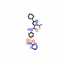 CC(C)n1nc(-c2ccccc2)cc1C(=O)Nc1ccc(S(=O)(=O)Nc2ncccn2)cc1